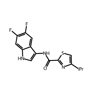 CC(C)c1csc(C(=O)Nc2c[nH]c3cc(F)c(F)cc23)n1